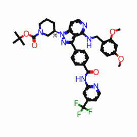 COc1ccc(CNc2nccc3c2c(-c2ccc(C(=O)Nc4cc(C(F)(F)F)ccn4)cc2)nn3[C@@H]2CCCN(C(=O)OC(C)(C)C)C2)c(OC)c1